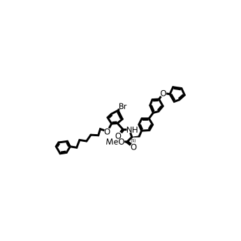 COC(=O)[C@H](Cc1ccc(-c2ccc(Oc3ccccc3)cc2)cc1)NC(=O)c1cc(Br)ccc1OCCCCCCc1ccccc1